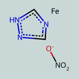 O=[N+]([O-])[O-].[Fe].c1nc[nH]n1